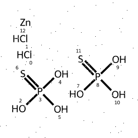 Cl.Cl.OP(O)(O)=S.OP(O)(O)=S.[Zn]